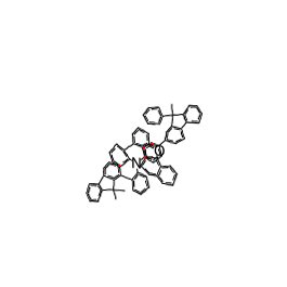 CC1(C)c2ccccc2-c2cccc(-c3ccccc3N(c3ccc(-c4ccc5c(c4)C(C)(c4ccccc4)c4ccccc4-5)cc3)c3ccccc3-c3cccc4oc5c6ccccc6ccc5c34)c21